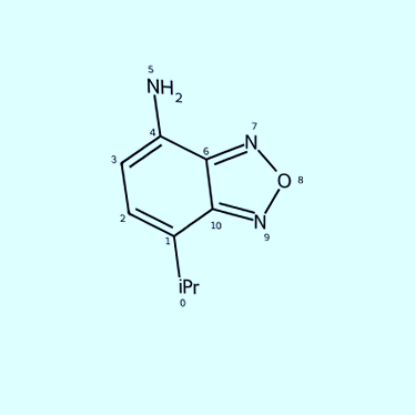 CC(C)c1ccc(N)c2nonc12